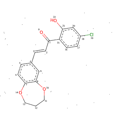 O=C(C=Cc1ccc2c(c1)OCCCO2)c1ccc(Cl)cc1O